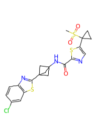 CS(=O)(=O)C1(c2cnc(C(=O)NC34CC(c5nc6ccc(Cl)cc6s5)(C3)C4)s2)CC1